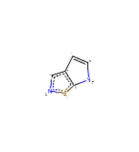 [c]1nsc2c1C=C[N]2